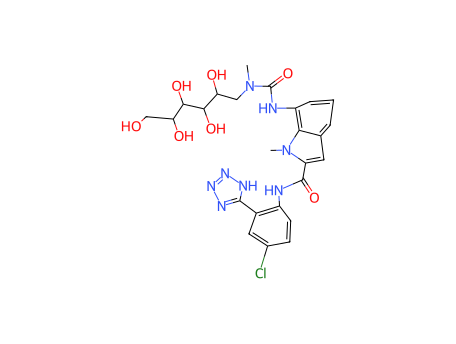 CN(CC(O)C(O)C(O)C(O)CO)C(=O)Nc1cccc2cc(C(=O)Nc3ccc(Cl)cc3-c3nnn[nH]3)n(C)c12